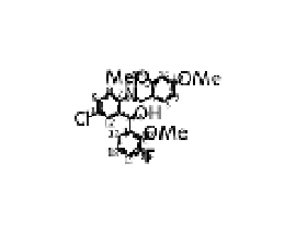 COc1ccc(CNc2ccc(Cl)cc2C(O)c2cccc(F)c2OC)c(OC)c1